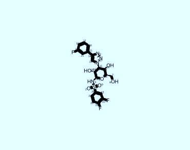 O=S(=O)(N[C@@H]1O[C@H](CO)[C@H](O)[C@H](n2cc(-c3cccc(F)c3)nn2)[C@H]1O)c1ccc(F)c(F)c1